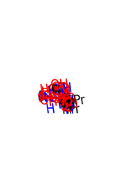 CCCC1O[C@@H]2C[C@H]3[C@@H]4C[C@H](F)C5=CC(=O)C=C[C@]5(C)[C@@]4(F)[C@@H](O)C[C@]3(C)[C@]2(C(=O)CNC(=O)[C@H](C)NC(=O)[C@@H](NC(=O)[C@@H](CCCCCNC(=O)COC2CCCCC/C(N[C@@H]3O[C@H](CO)[C@H](O)[C@H](O)[C@H]3O)=C\2N=N)NC(=O)CCOCCOCCOCCOCCNC(=O)CCC(=O)N2Cc3ccccc3C#Cc3ccccc32)C(C)C)O1